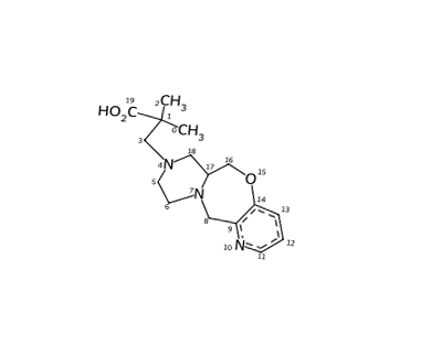 CC(C)(CN1CCN2Cc3ncccc3OCC2C1)C(=O)O